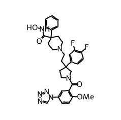 COc1ccc(-n2cnnn2)cc1C(=O)N1CCC(CCN2CCC(C(=O)NO)(c3ccccc3)CC2)(c2ccc(F)c(F)c2)C1